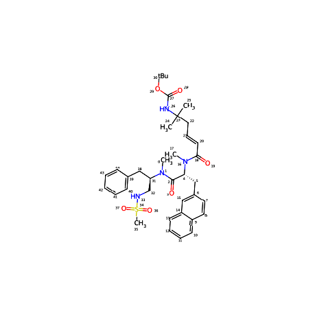 CN(C(=O)[C@@H](Cc1ccc2ccccc2c1)N(C)C(=O)/C=C/CC(C)(C)NC(=O)OC(C)(C)C)[C@@H](CNS(C)(=O)=O)Cc1ccccc1